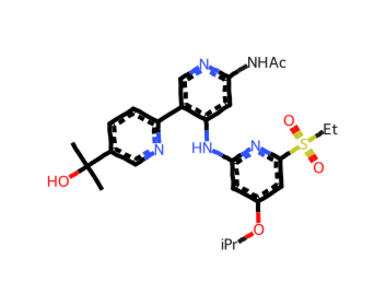 CCS(=O)(=O)c1cc(OC(C)C)cc(Nc2cc(NC(C)=O)ncc2-c2ccc(C(C)(C)O)cn2)n1